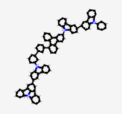 c1ccc(-n2c3ccccc3c3cc(-c4ccc5c(c4)c4ccccc4n5-c4ccc5c(c4)c4ccccc4c4c(-c6cccc(-c7cccc(-n8c9ccccc9c9cc(-c%10cc%11c%12ccccc%12n%12c%13ccccc%13c(c%10)c%11%12)ccc98)c7)c6)cccc54)ccc32)cc1